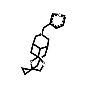 c1ccc(CN2CC3CN(CC4CC4)CC(C2)C3C2SCCS2)cc1